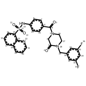 O=C1CN(C(=O)c2ccc(NS(=O)(=O)c3cccc4cccnc34)cc2)CCN1Cc1cc(F)cc(F)c1